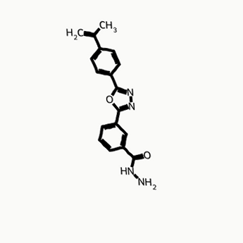 C=C(C)c1ccc(-c2nnc(-c3cccc(C(=O)NN)c3)o2)cc1